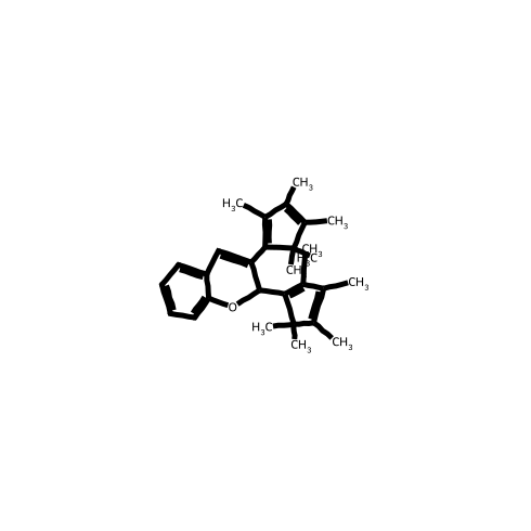 CC1=C(C)C(C)(C)C(C2=Cc3ccccc3OC2C2=C(C)C(C)=C(C)C2(C)C)=C1C